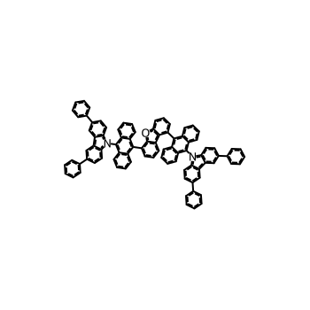 c1ccc(-c2ccc3c(c2)c2cc(-c4ccccc4)ccc2n3-c2c3ccccc3c(-c3cccc4c3oc3cccc(-c5c6ccccc6c(-n6c7ccc(-c8ccccc8)cc7c7cc(-c8ccccc8)ccc76)c6ccccc56)c34)c3ccccc23)cc1